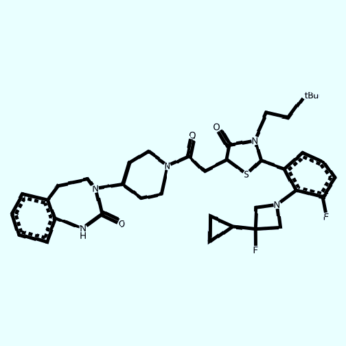 CC(C)(C)CCN1C(=O)C(CC(=O)N2CCC(N3CCc4ccccc4NC3=O)CC2)SC1c1cccc(F)c1N1CC(F)(C2CC2)C1